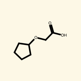 O=C(O)[CH]OC1CCCC1